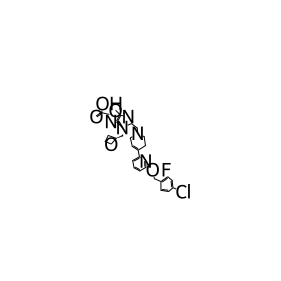 O=C(O)c1nc2c(nc(CN3CC=C(c4cccc(OCc5ccc(Cl)cc5F)n4)CC3)n2C[C@@H]2CCO2)o1